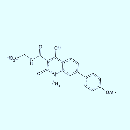 COc1ccc(-c2ccc3c(O)c(C(=O)NCC(=O)O)c(=O)n(C)c3c2)cc1